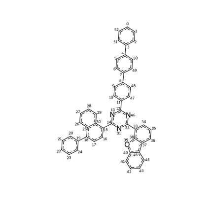 c1ccc(-c2ccc(-c3ccc(-c4nc(-c5ccc(-c6ccccc6)c6ccccc56)nc(-c5cccc6c5oc5ccccc56)n4)cc3)cc2)cc1